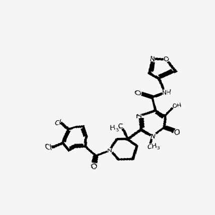 Cn1c(C2(C)CCCN(C(=O)c3ccc(Cl)c(Cl)c3)C2)nc(C(=O)Nc2cnoc2)c(O)c1=O